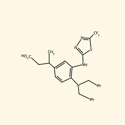 CC(C)CN(CC(C)C)c1ccc(C(C)CC(=O)O)cc1Nc1nnc(C(F)(F)F)s1